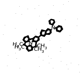 CC1(C)c2cccc3c2-n2c4c1cccc4c1cc(-c4ccc5cc(N(C6=CCCC=C6)c6ccccc6)ccc5c4)cc(c12)C3(C)C